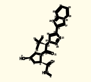 CNC(=O)[C@@H]1C[C@@H](O)CN1C(=O)[C@@H](n1cc(-c2cn3ccccc3n2)nn1)C(C)(C)C